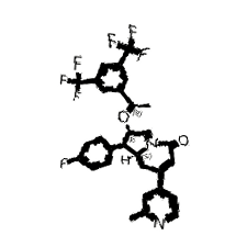 Cc1cc(C2=CC(=O)N3C[C@H](O[C@H](C)c4cc(C(F)(F)F)cc(C(F)(F)F)c4)C(c4ccc(F)cc4)[C@@H]3C2)ccn1